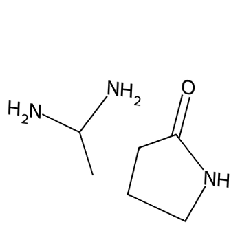 CC(N)N.O=C1CCCN1